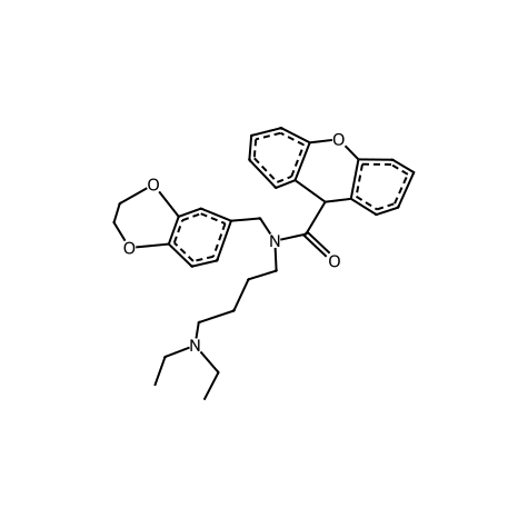 CCN(CC)CCCCN(Cc1ccc2c(c1)OCCO2)C(=O)C1c2ccccc2Oc2ccccc21